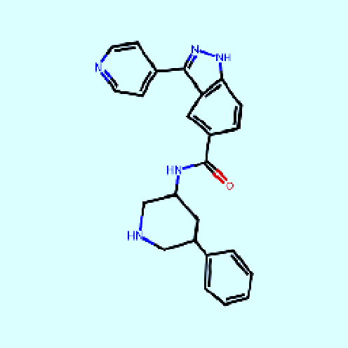 O=C(NC1CNCC(c2ccccc2)C1)c1ccc2[nH]nc(-c3ccncc3)c2c1